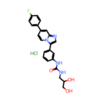 Cl.O=C(NCC(O)CO)Nc1cccc(-c2cnc3cc(-c4ccc(F)cc4)ccn23)c1